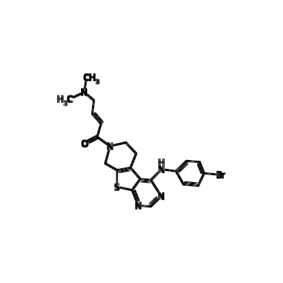 CN(C)CC=CC(=O)N1CCc2c(sc3ncnc(Nc4ccc(Br)cc4)c23)C1